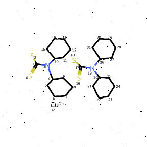 S=C([S-])N(C1CCCCC1)C1CCCCC1.S=C([S-])N(C1CCCCC1)C1CCCCC1.[Cu+2]